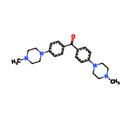 CN1CCN(c2ccc(C(=O)c3ccc(N4CCN(C)CC4)cc3)cc2)CC1